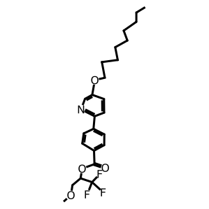 CCCCCCCCCOc1ccc(-c2ccc(C(=O)OC(COC)C(F)(F)F)cc2)nc1